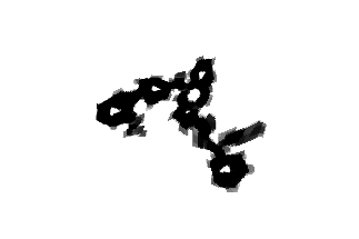 COc1ccccc1-c1ccc(C(=O)N2Cc3ccc(C(=O)N[C@H](CO)c4ccccc4)n3Cc3ccccc32)cc1